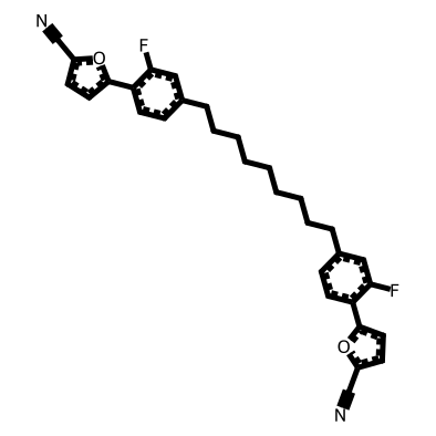 N#Cc1ccc(-c2ccc(CCCCCCCCCc3ccc(-c4ccc(C#N)o4)c(F)c3)cc2F)o1